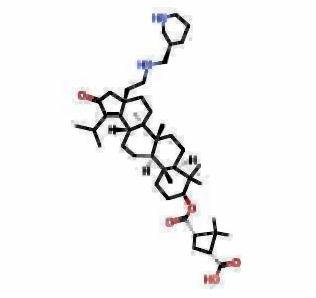 CC(C)C1=C2[C@H]3CC[C@@H]4[C@@]5(C)CC[C@H](OC(=O)[C@H]6C[C@@H](C(=O)O)C6(C)C)C(C)(C)[C@@H]5CC[C@@]4(C)[C@]3(C)CC[C@@]2(CCNC[C@@H]2CCCNC2)CC1=O